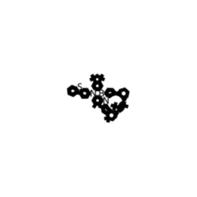 Cc1cc2c3c(c1)N1c4cc5c(cc4C)C(C)(C)CCC5(C)c4cc(C)c(cc4C(C)(C)C)C4(C)CCCCC4(C)c4ccc(c1c4)B3c1cc3c(cc1N2c1ccc2c(c1)sc1ccccc12)C(C)(C)CC3(C)C